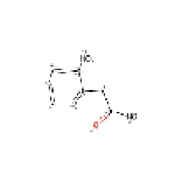 O=NC(=O)Cc1ccccc1[N+](=O)[O-]